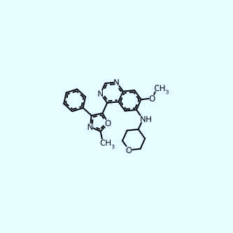 COc1cc2ncnc(-c3oc(C)nc3-c3ccccc3)c2cc1NC1CCOCC1